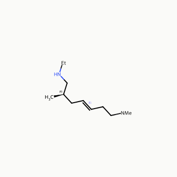 CCNC[C@H](C)C/C=C/CCNC